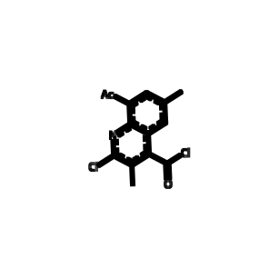 CC(=O)c1cc(C)cc2c(C(=O)Cl)c(C)c(Cl)nc12